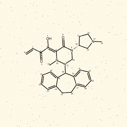 C=CC(=O)/C(O)=C1/C(=O)N([C@@H]2CCN(C)C2)CN(C2c3ccccc3CCc3ccccc32)N1C